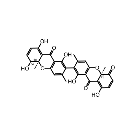 Cc1cc2c(c(O)c1-c1c(C)cc3c(c1O)C(=O)C1=C(O)C=C[C@H](O)[C@]1(C)O3)C(=O)C1=C(O)C=CC(=O)[C@]1(C)O2